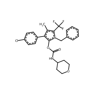 Cc1c(-c2ccc(Cl)cc2)c(OC(=O)NC2CCOCC2)n(Cc2ccccc2)c1C(F)(F)F